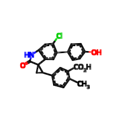 Cc1ccc(C2CC23C(=O)Nc2cc(Cl)c(-c4ccc(O)cc4)cc23)cc1C(=O)O